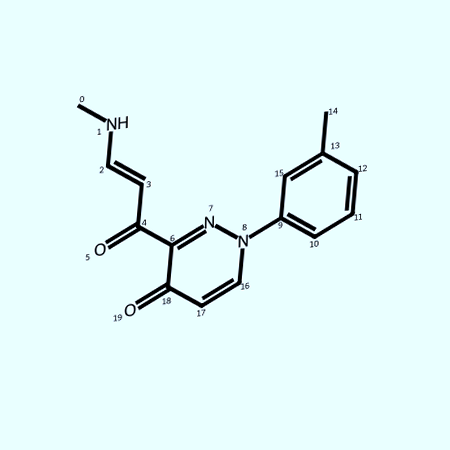 CNC=CC(=O)c1nn(-c2cccc(C)c2)ccc1=O